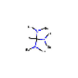 [CH2]C(N(C(C)CC)C(C)CC)(N(C(C)CC)C(C)CC)N(C(C)CC)C(C)CC